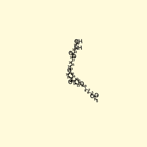 C=CC(=O)OCCCCCCOc1ccc(C(=O)c2ccc(OCCCCCCOC(=O)CCNCCO)cc2)cc1